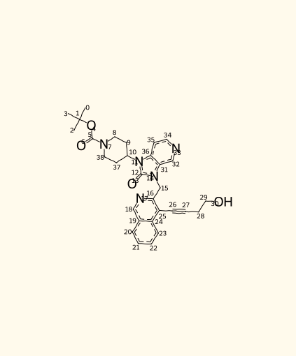 CC(C)(C)OC(=O)N1CCC(n2c(=O)n(Cc3ncc4ccccc4c3C#CCCO)c3cnccc32)CC1